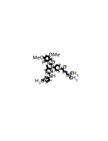 COc1cc(OC)c(F)c(N2Cc3cnc(Nc4ccn(C)n4)nc3N(C3CCN(C(=O)/C=C/CN(C)C)CC3)C2=O)c1F